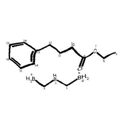 BCBCB.CCOC(=O)CCCc1ccccc1